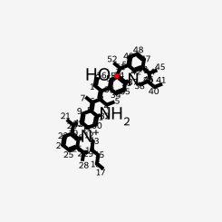 C=C/C(=C(CC)\C(C)=C1C=C/C(=[N+](/CCCCC)c2c(C(C)C)cccc2C(C)C)C=C\1N)c1ccc(N(CCCC)c2c(C(C)C)cccc2C(C)C)cc1O